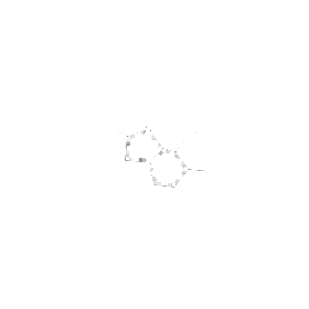 CCc1ccn2cc(C)nc2c1O